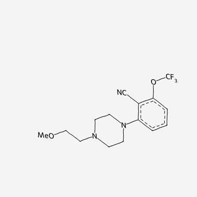 COCCN1CCN(c2cccc(OC(F)(F)F)c2C#N)CC1